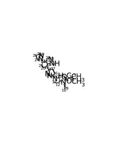 CC(C)(C)OC(=O)N(C1CC1)C1CCN(c2ccc(-c3ccc(-n4cccn4)c4cn[nH]c34)nn2)C1